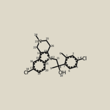 Cc1cc(Cl)ccc1C(C)(O)Cn1c2c(c3cc(Cl)ccc31)CN(C)CC2